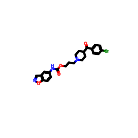 O=C(Nc1ccc2oncc2c1)OCCCN1CCC(C(=O)c2ccc(Br)cc2)CC1